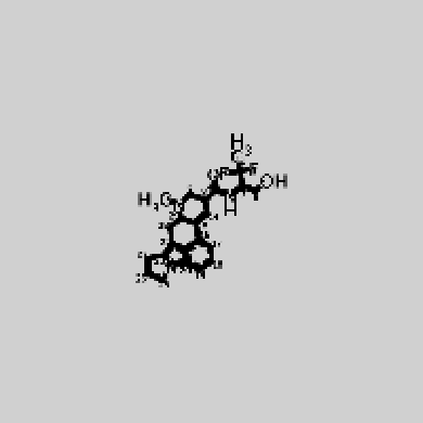 CN1CC(C(=O)NC(CO)C(C)(F)F)C=C2c3cccc4c3c(c3n4CCC3)CC21